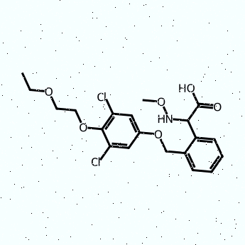 CCOCCOc1c(Cl)cc(OCc2ccccc2C(NOC)C(=O)O)cc1Cl